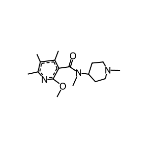 COc1nc(C)c(C)c(C)c1C(=O)N(C)C1CCN(C)CC1